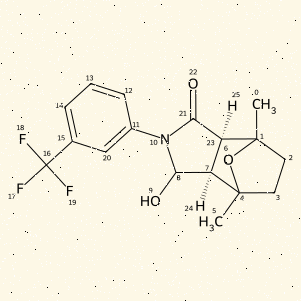 CC12CCC(C)(O1)[C@H]1C(O)N(c3cccc(C(F)(F)F)c3)C(=O)[C@H]12